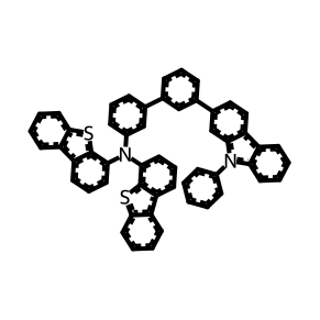 c1ccc(-n2c3ccccc3c3ccc(-c4cccc(-c5cccc(N(c6cccc7c6sc6ccccc67)c6cccc7c6sc6ccccc67)c5)c4)cc32)cc1